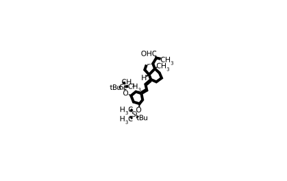 C[C@H](C=O)[C@H]1CC[C@H]2/C(=C/C=C3C[C@@H](O[Si](C)(C)C(C)(C)C)C[C@H](O[Si](C)(C)C(C)(C)C)C3)CCC[C@]12C